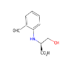 O=Cc1ccccc1N[C@@H](CO)C(=O)O